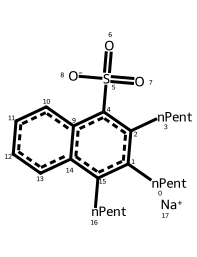 CCCCCc1c(CCCCC)c(S(=O)(=O)[O-])c2ccccc2c1CCCCC.[Na+]